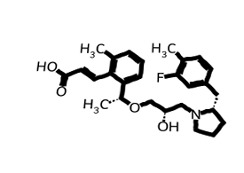 Cc1ccc(C[C@@H]2CCCN2C[C@H](O)CO[C@H](C)c2cccc(C)c2/C=C/C(=O)O)cc1F